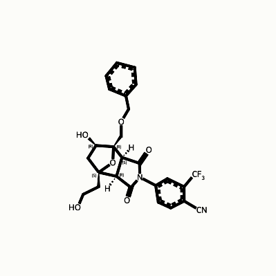 N#Cc1ccc(N2C(=O)[C@@H]3[C@H](C2=O)[C@]2(COCc4ccccc4)O[C@@]3(CCO)C[C@H]2O)cc1C(F)(F)F